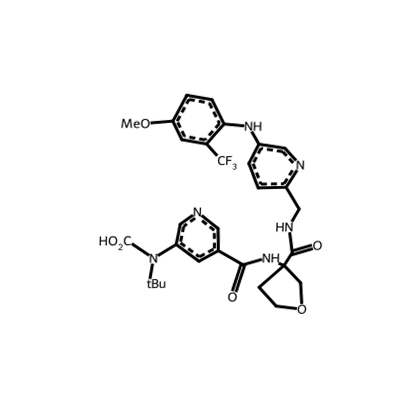 COc1ccc(Nc2ccc(CNC(=O)C3(NC(=O)c4cncc(N(C(=O)O)C(C)(C)C)c4)CCOC3)nc2)c(C(F)(F)F)c1